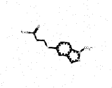 COC(=O)CCSc1ccc2c(cnn2C(=O)O)c1